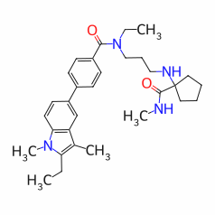 CCc1c(C)c2cc(-c3ccc(C(=O)N(CC)CCCNC4(C(=O)NC)CCCC4)cc3)ccc2n1C